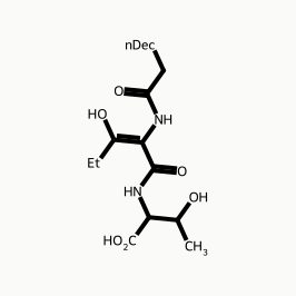 CCCCCCCCCCCC(=O)NC(C(=O)NC(C(=O)O)C(C)O)=C(O)CC